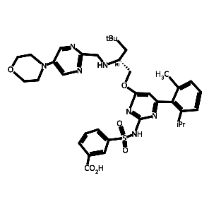 Cc1cccc(C(C)C)c1-c1cc(OC[C@@H](CC(C)(C)C)NCc2ncc(N3CCOCC3)cn2)nc(NS(=O)(=O)c2cccc(C(=O)O)c2)n1